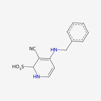 N#CC1=C(NCc2ccccc2)C=CNC1S(=O)(=O)O